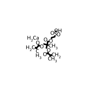 C=C(C)C(=O)OCC(C)(COC(=O)C(=C)C)C(=O)OCCS(=O)(=O)O.[CaH2]